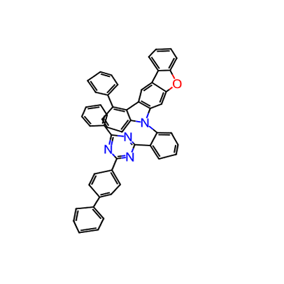 c1ccc(-c2ccc(-c3nc(-c4ccccc4)nc(-c4ccccc4-n4c5cc6oc7ccccc7c6cc5c5c(-c6ccccc6)cccc54)n3)cc2)cc1